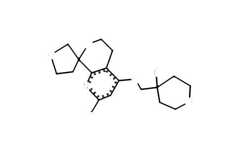 FC1(COc2cc(Cl)nc3c2CCOC32CCOC2)CCOCC1